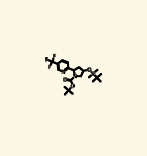 CC(C)(C)OC(=O)N1CC(O[Si](C)(C)C(C)(C)C)CC1c1ccc(C(F)(F)F)cn1